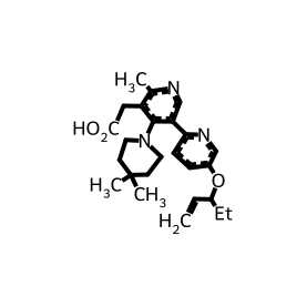 C=CC(CC)Oc1ccc(-c2cnc(C)c(CC(=O)O)c2N2CCC(C)(C)CC2)nc1